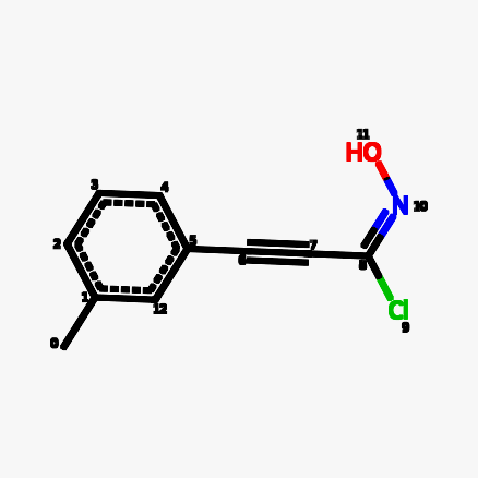 Cc1cccc(C#C/C(Cl)=N\O)c1